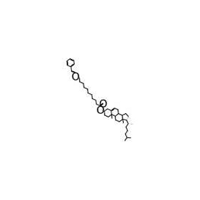 CC(C)CCC[C@@H](C)[C@H]1CCC2C3CC=C4C[C@@H](OC(=O)CCCCCCCCCCOC=Cc5ccccc5)CCC4(C)C3CCC21C